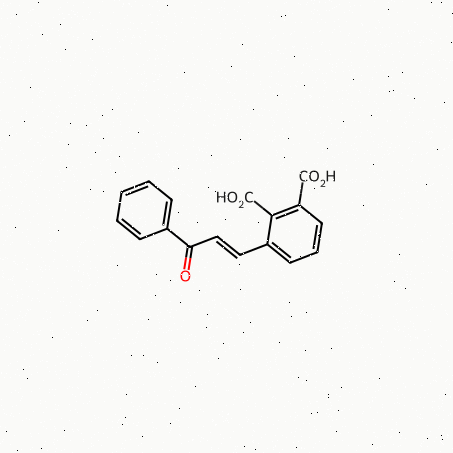 O=C(C=Cc1cccc(C(=O)O)c1C(=O)O)c1ccccc1